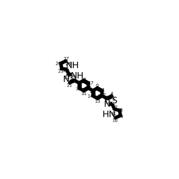 c1cc(-c2csc(C3CCCN3)n2)ccc1-c1ccc(-c2cnc(C3CCCN3)[nH]2)cc1